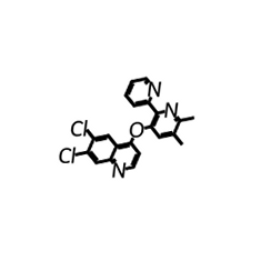 Cc1cc(Oc2ccnc3cc(Cl)c(Cl)cc23)c(-c2ccccn2)nc1C